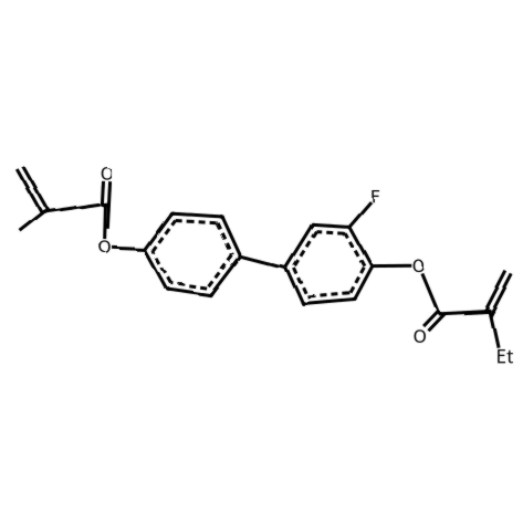 C=C(C)C(=O)Oc1ccc(-c2ccc(OC(=O)C(=C)CC)c(F)c2)cc1